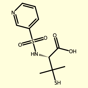 CC(C)(S)[C@H](NS(=O)(=O)c1cccnc1)C(=O)O